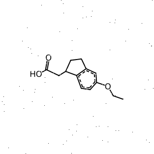 CCOc1ccc2c(c1)CCC2CC(=O)O